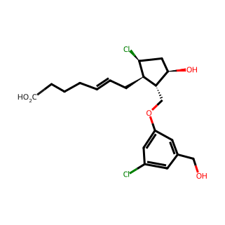 O=C(O)CCCC=CC[C@@H]1[C@@H](COc2cc(Cl)cc(CO)c2)[C@H](O)C[C@@H]1Cl